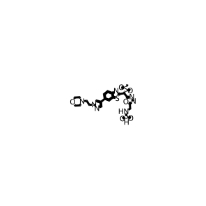 CS(=O)(=O)C(c1nnc(CN[SH](=O)=O)o1)c1nc2ccc(-c3cnn(CCN4CCOCC4)c3)cc2s1